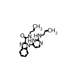 C=CCNC(=O)c1nc2ccccc2n1-c1ccnc(NCC=C)n1